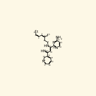 CC/C=C\C=C(\F)CCN/C(=C\C(=N)C1=CC=CC=NC1)c1nccc(N)n1